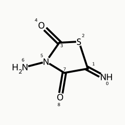 N=C1SC(=O)N(N)C1=O